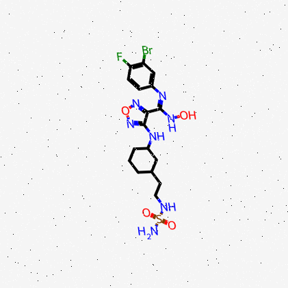 NS(=O)(=O)NCCC1CCCC(Nc2nonc2C(=Nc2ccc(F)c(Br)c2)NO)C1